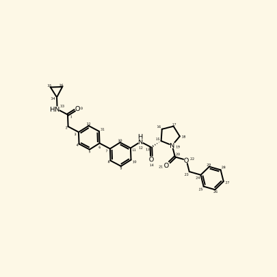 O=C(Cc1ccc(-c2cccc(NC(=O)[C@@H]3CCCN3C(=O)OCc3ccccc3)c2)cc1)NC1CC1